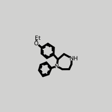 CCOc1ccc(C2CNCCCN2c2ccccc2)cc1